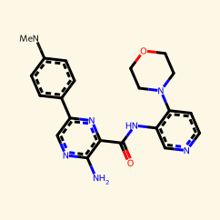 CNc1ccc(-c2cnc(N)c(C(=O)Nc3cnccc3N3CCOCC3)n2)cc1